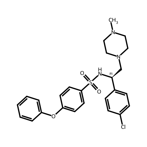 CN1CCN(C[C@H](NS(=O)(=O)c2ccc(Oc3ccccc3)cc2)c2ccc(Cl)cc2)CC1